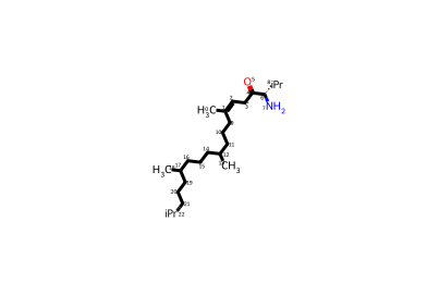 CC(=C[CH]C(=O)[C@@H](N)C(C)C)CCCC(C)CCCC(C)CCCC(C)C